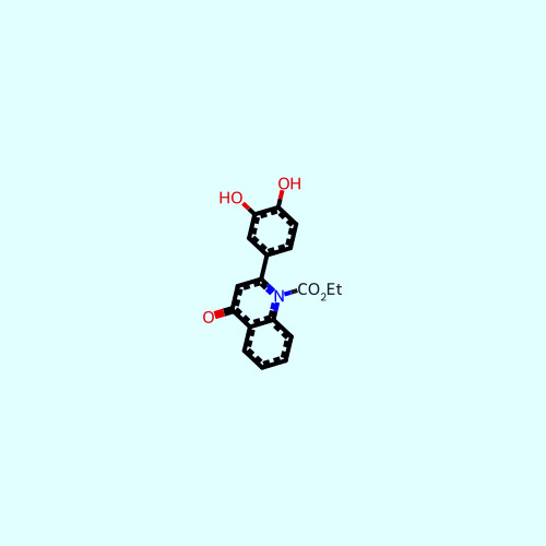 CCOC(=O)n1c(-c2ccc(O)c(O)c2)cc(=O)c2ccccc21